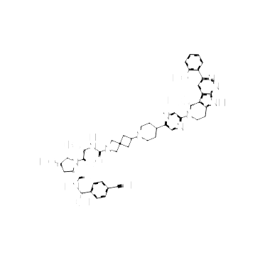 C#Cc1ccc([C@H](C)NC(=O)[C@@H]2C[C@@H](O)CN2C(=O)[C@@H](NC(=O)N2CC3(CC(N4CCC(c5cnc(N6CCc7[nH]c8nnc(-c9ccccc9O)cc8c7[C@H]6C)cn5)CC4)C3)C2)C(C)(C)C)cc1